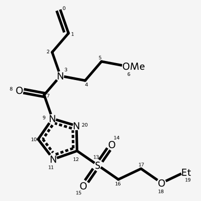 C=CCN(CCOC)C(=O)n1cnc(S(=O)(=O)CCOCC)n1